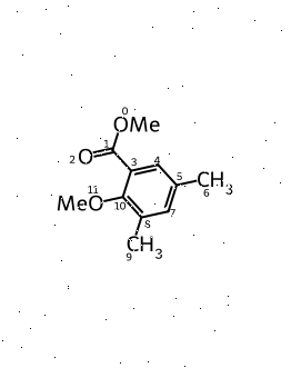 COC(=O)c1cc(C)cc(C)c1OC